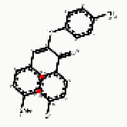 CSc1ccc(/C=C(/Sc2ccc(C)cc2)C(=O)c2ccc(Br)cc2)cc1